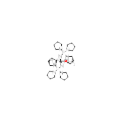 NC(N)(N=P(N1CCCC1)(N1CCCC1)N1CCCC1)N=P(N1CCCC1)(N1CCCC1)N1CCCC1